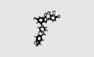 O=C1CCC(N2Cc3c(cc(F)cc3N3CCN(Cc4ccc5occc5c4)CC3)C2=O)C(=O)N1